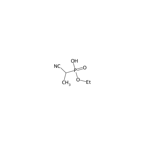 CCOP(=O)(O)C(C)C#N